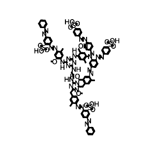 COc1cc(N=Nc2ccc(N=Nc3ccccc3)cc2S(=O)(=O)O)c(C)cc1Cc1nc(Cc2cc(C)c(N=Nc3ccc(N=Nc4ccc(S(=O)(=O)O)cc4)cc3)cc2CO)nc(NCCNc2nc(Nc3cc(C)c(N=Nc4ccc(N=Nc5ccc(S(=O)(=O)O)cc5)cc4)cc3CO)nc(Nc3cc(C)c(N=Nc4ccc(N=Nc5ccccc5)cc4S(=O)(=O)O)cc3OC)n2)n1